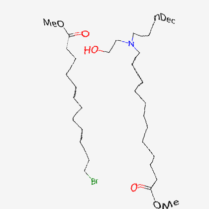 CCCCCCCCCCCCN(CCO)CCCCCCCCCCCC(=O)OC.COC(=O)CCCCCCCCCCCBr